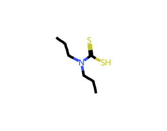 CCCN(CCC)C(=S)S